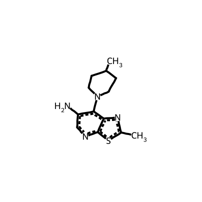 Cc1nc2c(N3CCC(C)CC3)c(N)cnc2s1